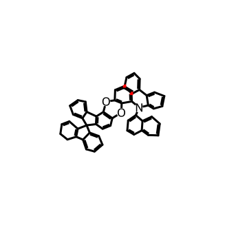 C1=CC2=C(CC1)c1ccccc1C21c2ccccc2-c2c1ccc1c2Oc2cccc(N(c3ccccc3-c3ccccc3)c3cccc4ccccc34)c2O1